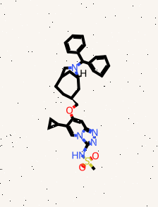 CS(=O)(=O)Nc1nnc2cc(OC[C@H]3CCC4C[C@H](C3)N(C(c3ccccc3)c3ccccc3)C4)c(C3CC3)cn12